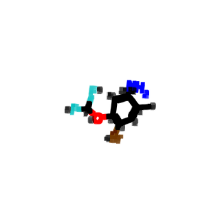 Cc1cc(Br)c(OC(F)F)cc1N